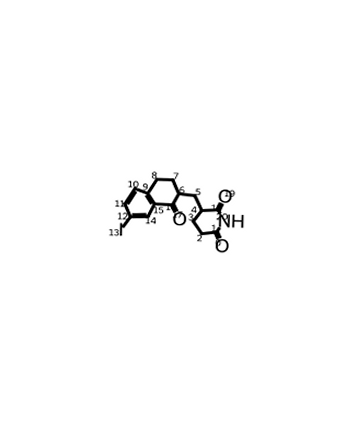 O=C1CCC(CC2CCc3ccc(I)cc3C2=O)C(=O)N1